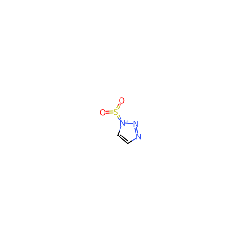 O=S(=O)=[N+]1C=CN=N1